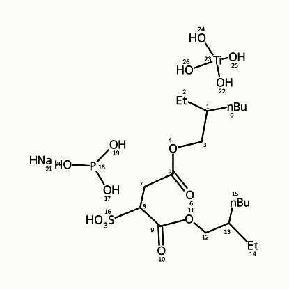 CCCCC(CC)COC(=O)CC(C(=O)OCC(CC)CCCC)S(=O)(=O)O.OP(O)O.[NaH].[OH][Ti]([OH])([OH])[OH]